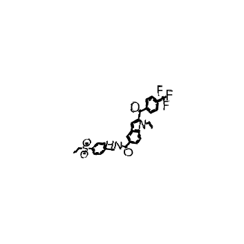 CCn1c(C(=O)c2ccc(C(F)(F)F)cc2)cc2cc(C(=O)NCc3ccc(S(=O)(=O)CC)cc3)ccc21